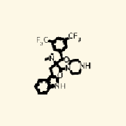 CN(C)C(Cc1c[nH]c2ccccc12)(C(=O)c1cc(C(F)(F)F)cc(C(F)(F)F)c1)C(=O)N1CCNCC1